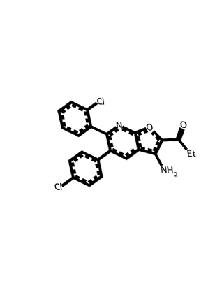 CCC(=O)c1oc2nc(-c3ccccc3Cl)c(-c3ccc(Cl)cc3)cc2c1N